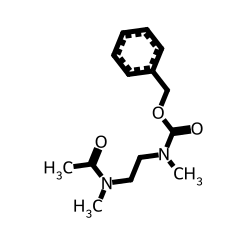 CC(=O)N(C)CCN(C)C(=O)OCc1ccccc1